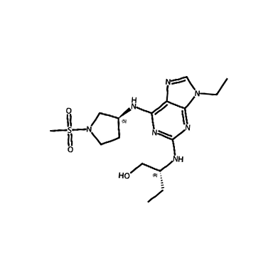 CC[C@H](CO)Nc1nc(N[C@H]2CCN(S(C)(=O)=O)C2)c2ncn(CC)c2n1